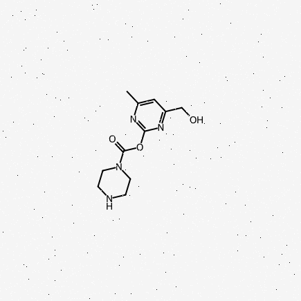 Cc1cc(CO)nc(OC(=O)N2CCNCC2)n1